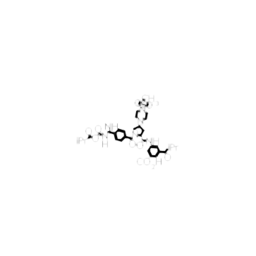 CC(C)C(=O)OC(=O)NC(=N)c1ccc(C(=O)N2C[C@@H](N3CCN(S(C)(=O)=O)CC3)C[C@H]2C(=O)Nc2ccc(C(=O)O)c(C(=O)C(C)C)c2)cc1